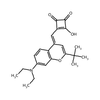 CCN(CC)c1ccc2c(c1)OC(C(C)(C)C)=CC2=Cc1c(O)c(=O)c1=O